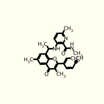 C#C/C=C\C(=C/C)c1oc2c(C(C)Nc3ccc(C)nc3C(=O)NC)cc(C)cc2c(=O)c1C